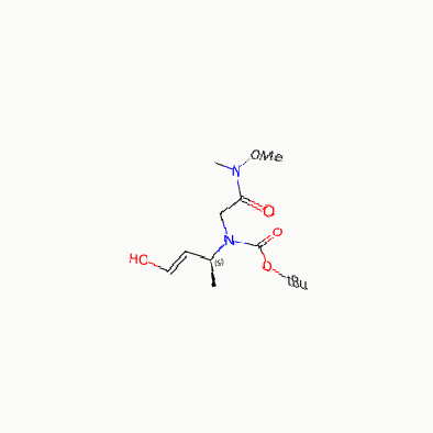 CON(C)C(=O)CN(C(=O)OC(C)(C)C)[C@@H](C)C=CO